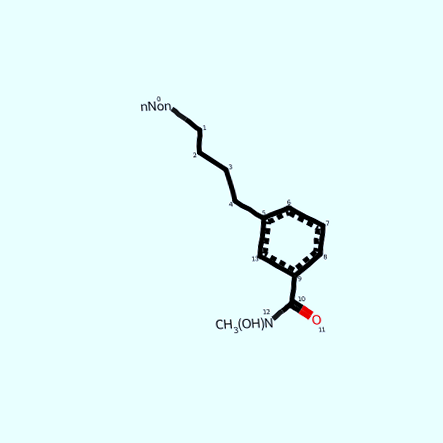 CCCCCCCCCCCCCc1cccc(C(=O)N(C)O)c1